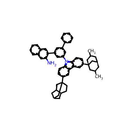 CC1CC2CC(C)CC(c3ccc4c(c3)c3cc(C56CCC7CC(CC7C5)C6)ccc3n4-c3cc(-c4ccccc4)cc(-c4cc5ccccc5cc4N)c3)(C1)C2